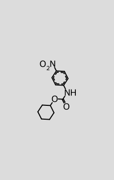 O=C(Nc1ccc([N+](=O)[O-])cc1)OC1CCCCC1